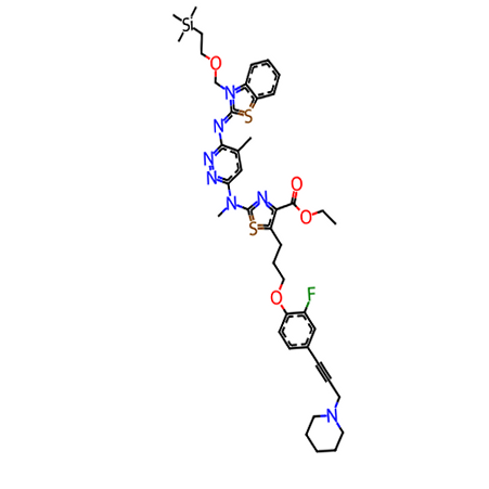 CCOC(=O)c1nc(N(C)c2cc(C)c(/N=c3\sc4ccccc4n3COCC[Si](C)(C)C)nn2)sc1CCCOc1ccc(C#CCN2CCCCC2)cc1F